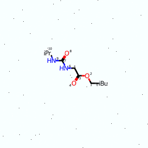 CCC(C)COC(=O)CNC(=O)NC(C)C